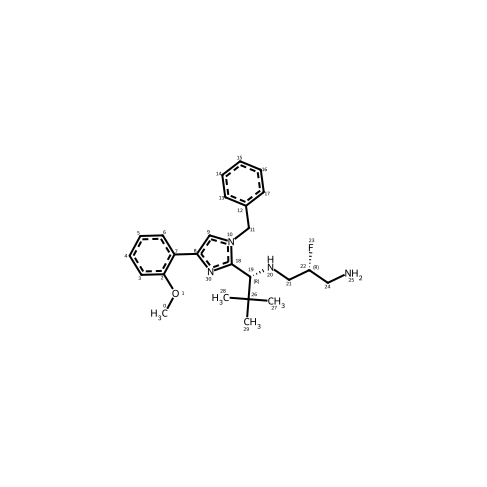 COc1ccccc1-c1cn(Cc2ccccc2)c([C@H](NC[C@H](F)CN)C(C)(C)C)n1